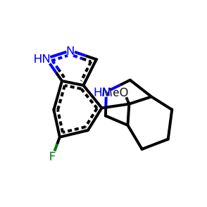 COC1(c2cc(F)cc3[nH]ncc23)C2CCCC1CNC2